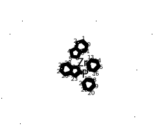 C1=CCC2CC[CH]([Zr][CH]3C(P(c4ccccc4)c4ccccc4)=Cc4ccccc43)C2=C1